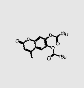 Cc1cc(=O)oc2cc(OC(=O)C(C)(C)C)c(OC(=O)C(C)(C)C)cc12